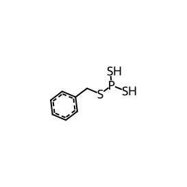 SP(S)SCc1ccccc1